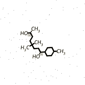 CC1CCC([C@@H](O)CCC(C)(C)CC[C@H](C)O)CC1